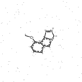 COc1cccc2cn3c(c12)C=NC3